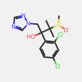 C[S+]([O-])C(C)(C)C(O)(Cn1cncn1)c1ccc(Cl)cc1Cl